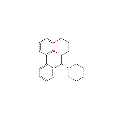 c1ccc(-c2ccccc2C(C2CCCCC2)C2CCCCC2)cc1